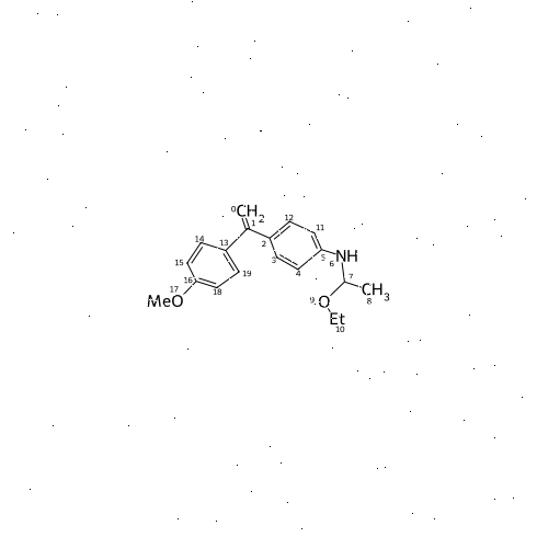 C=C(c1ccc(NC(C)OCC)cc1)c1ccc(OC)cc1